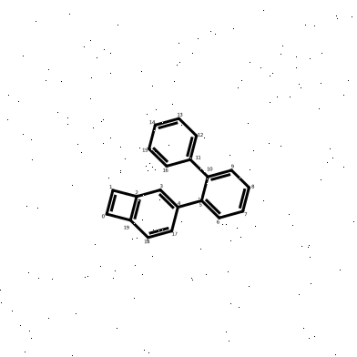 C1=Cc2cc(-c3ccccc3-c3ccccc3)ccc21